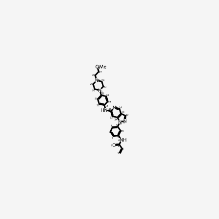 C=CC(=O)Nc1cccc(-n2ncc3cnc(Nc4ccc(N5CCN(CCOC)CC5)cc4)cc32)c1